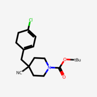 CC(C)(C)OC(=O)N1CCC(C#N)(CC2=CC=C(Cl)CC2)CC1